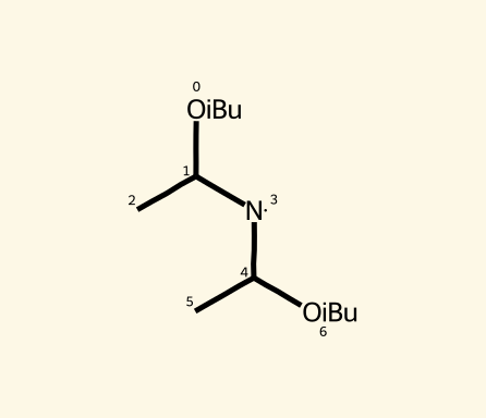 CC(C)COC(C)[N]C(C)OCC(C)C